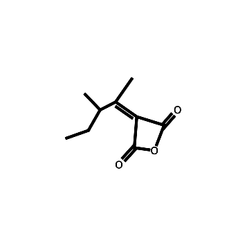 CCC(C)C(C)=C1C(=O)OC1=O